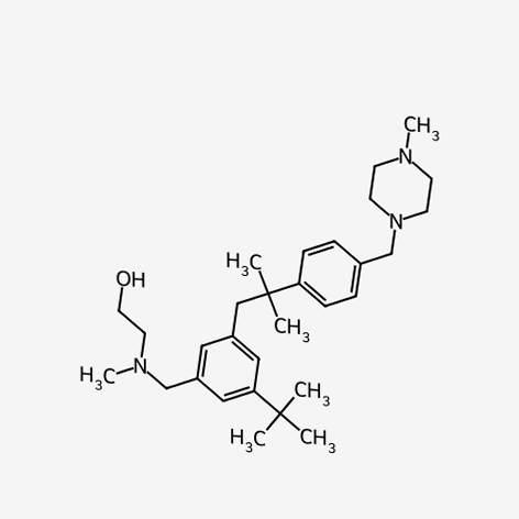 CN1CCN(Cc2ccc(C(C)(C)Cc3cc(CN(C)CCO)cc(C(C)(C)C)c3)cc2)CC1